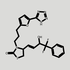 O=C1SCC(C=CC(O)C(F)(F)c2ccccc2)N1CCCc1ccc(-c2nnn[nH]2)o1